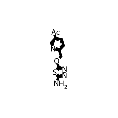 CC(=O)c1ccc(COc2nnc(N)s2)nc1